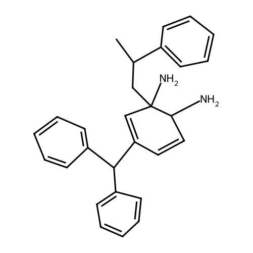 CC(CC1(N)C=C(C(c2ccccc2)c2ccccc2)C=CC1N)c1ccccc1